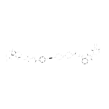 CC1(C)C(NC(=O)c2ccc(C#CC3CCN(C4CCN(C(=O)CNc5cccc6c5C(=O)N(C5CCC(=O)NC5=O)C6=O)CC4)CC3)cc2)C(C)(C)C1OC1=Nn2c(nnc2C(F)(F)F)CC1